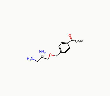 COC(=O)c1ccc(COC[C@@H](N)CN)cc1